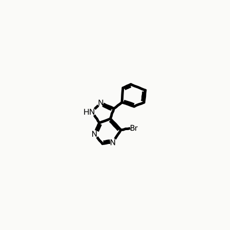 Brc1ncnc2[nH]nc(-c3ccccc3)c12